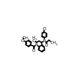 CCC(=O)N(c1ccc(Cl)cc1)C1CC(C)N(C(=O)c2ccc(OC)cc2)c2ccccc21